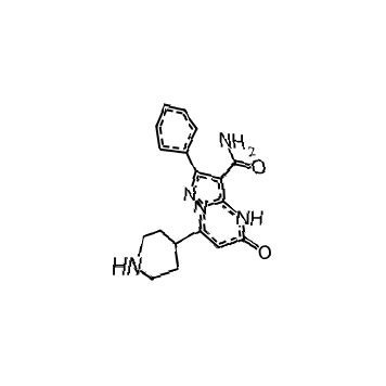 NC(=O)c1c(-c2ccccc2)nn2c(C3CCNCC3)cc(=O)[nH]c12